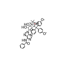 COc1ccc(C(c2ccccc2)(c2ccc(OC)cc2)C(O)[C@H]2O[C@@H](n3cnc4c(NC(=O)c5ccccc5)ncnc43)[C@H](O)[C@@]2(O)[Si](C)(C)C(C)(C)C)cc1